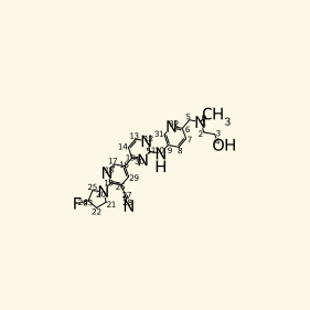 CN(CCO)Cc1ccc(Nc2nccc(-c3cnc(N4CCC(F)C4)c(C#N)c3)n2)cn1